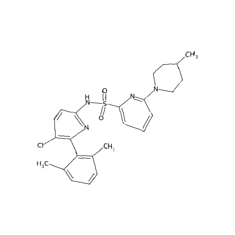 Cc1cccc(C)c1-c1nc(NS(=O)(=O)c2cccc(N3CCC(C)CC3)n2)ccc1Cl